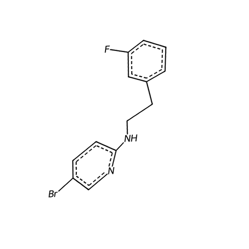 Fc1cccc(CCNc2ccc(Br)cn2)c1